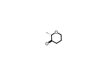 C[C@@H]1OCCCC1=O